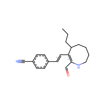 CCCC1CCCCN/C(C=O)=C1/C=C/c1ccc(C#N)cc1